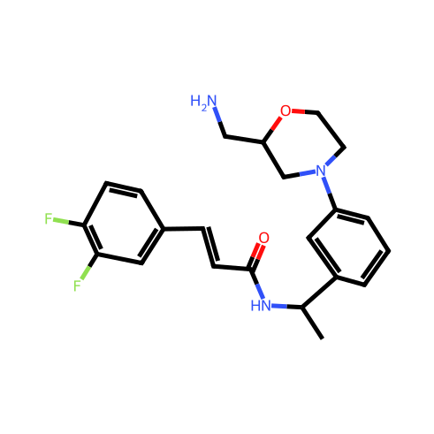 CC(NC(=O)C=Cc1ccc(F)c(F)c1)c1cccc(N2CCOC(CN)C2)c1